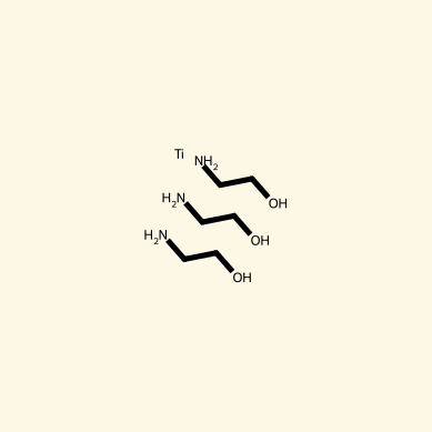 NCCO.NCCO.NCCO.[Ti]